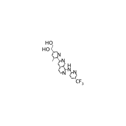 Cc1cc([C@H](O)CO)cnc1-c1cc2ccnc(Nc3ccc(C(F)(F)F)cn3)c2cn1